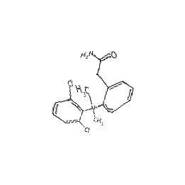 C[N+](C)(c1ccccc1CC(N)=O)c1c(Cl)cccc1Cl